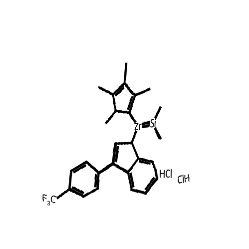 CC1=C(C)C(C)[C]([Zr]([CH]2C=C(c3ccc(C(F)(F)F)cc3)c3ccccc32)=[Si](C)C)=C1C.Cl.Cl